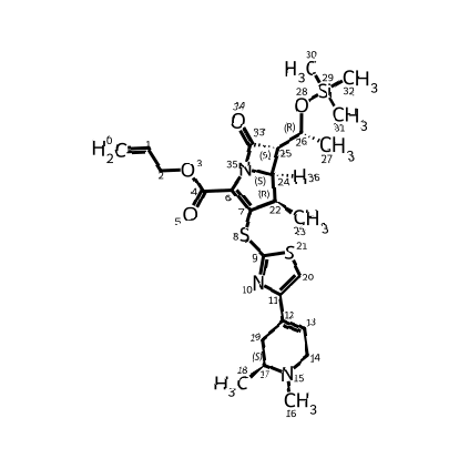 C=CCOC(=O)C1=C(Sc2nc(C3=CCN(C)[C@@H](C)C3)cs2)[C@H](C)[C@@H]2[C@@H]([C@@H](C)O[Si](C)(C)C)C(=O)N12